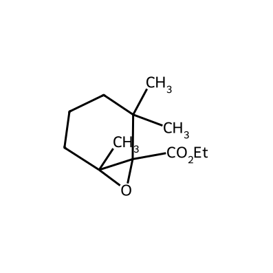 CCOC(=O)C12OC1(C)CCCC2(C)C